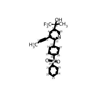 CC#Cc1cc([C@@](C)(O)C(F)(F)F)cnc1-c1ccc(S(=O)(=O)c2ccccc2)cc1